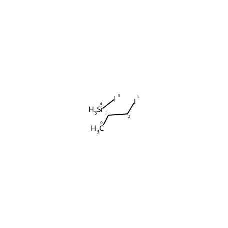 CCCI.[SiH3]I